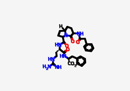 N=C(N)NCC[C@H](NC(=O)C1CC[C@@H]2CCC(NC(=O)Cc3ccccc3)C(=O)N12)C(=O)N[C@@H](Cc1ccccc1)C(=O)O